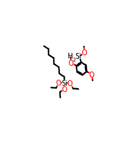 CCCCCCCC[Si](OCC)(OCC)OCC.CO[SiH2]c1cc(OC)ccc1OC